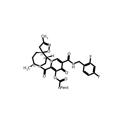 CCCCCC(=O)Oc1c2n(cc(C(=O)NCc3ccc(F)cc3F)c1=O)[C@@H]1CN(C2=O)[C@@H](C)CC[C@]12CC(C)=NO2